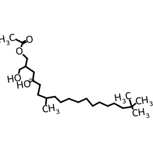 CC(=O)OCC(CO)C[C@@H](O)CCC(C)CCCCCCCCCCC(C)(C)C